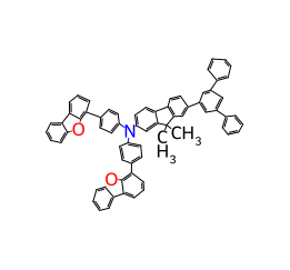 CC1(C)c2cc(-c3cc(-c4ccccc4)cc(-c4ccccc4)c3)ccc2-c2ccc(N(c3ccc(-c4cccc5c4oc4ccccc45)cc3)c3ccc(-c4cccc5c4oc4ccccc45)cc3)cc21